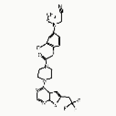 CSN(CC#N)c1ccc(CC(=O)N2CCN(C3=NC=NC4SC(CC(F)(F)F)=CC34)CC2)c(Cl)c1